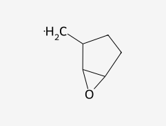 [CH2]C1CCC2OC12